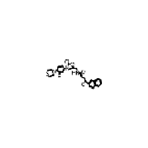 O=C(CCC(=O)c1ccc2ccccc2c1)NCC1CN(c2ccc(N3CCSCC3)c(F)c2)C(=O)O1